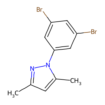 Cc1cc(C)n(-c2cc(Br)cc(Br)c2)n1